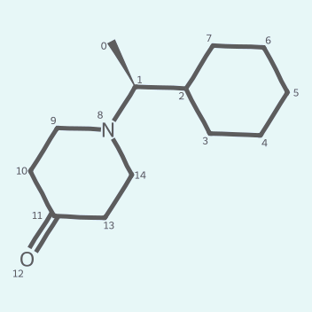 C[C@@H](C1CCCCC1)N1CCC(=O)CC1